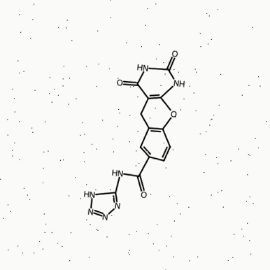 O=C(Nc1nnn[nH]1)c1ccc2c(c1)Cc1c([nH]c(=O)[nH]c1=O)O2